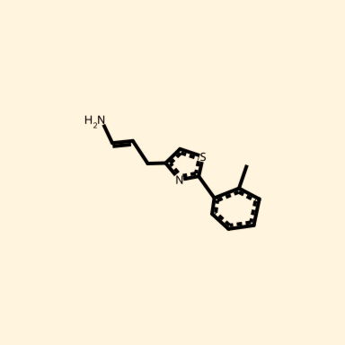 Cc1ccccc1-c1nc(CC=CN)cs1